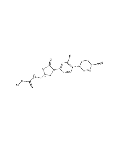 CCOC(=S)NC[C@H]1CN(c2ccc(N3C=NN(C=O)CC3)c(F)c2)C(=O)O1